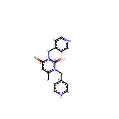 Cc1cc(=O)n(Cc2ccncc2)c(=O)n1Cc1ccncc1